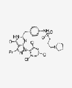 CC(C)c1nn(-c2c(Cl)cc(Cl)cc2Cl)c2nc(Cc3ccc(NS(=O)(=O)CCCN4CCCC4)cc3)[nH]c(=O)c12